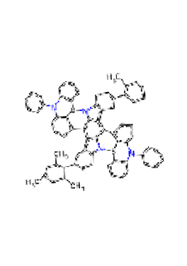 Cc1cc(C)c(-c2ccc3c(c2)c2c4c5c(c6c2n3B2c3ccccc3N(c3ccccc3)c3cccc-6c32)c2cc(-c3ccccc3C)ccc2n5B2c3ccccc3N(c3ccccc3)c3cccc-4c32)c(C)c1